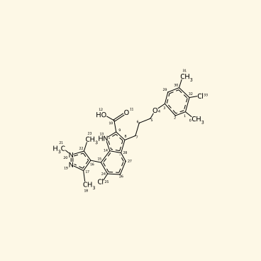 Cc1cc(OCCCc2c(C(=O)O)[nH]c3c(-c4c(C)nn(C)c4C)c(Cl)ccc23)cc(C)c1Cl